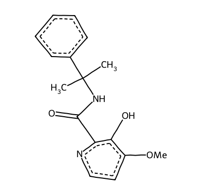 COc1ccnc(C(=O)NC(C)(C)c2ccccc2)c1O